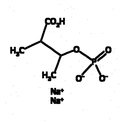 CC(OP(=O)([O-])[O-])C(C)C(=O)O.[Na+].[Na+]